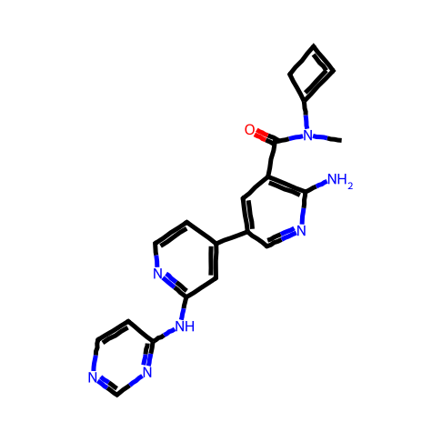 CN(C(=O)c1cc(-c2ccnc(Nc3ccncn3)c2)cnc1N)C1=C=CC1